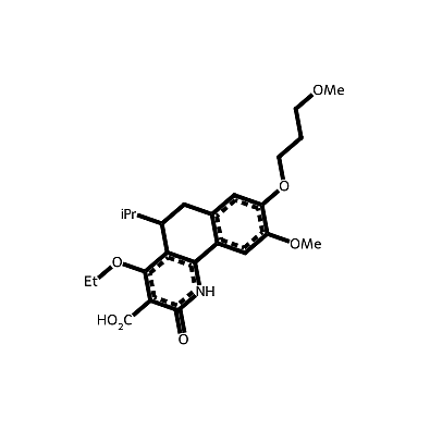 CCOc1c2c([nH]c(=O)c1C(=O)O)-c1cc(OC)c(OCCCOC)cc1CC2C(C)C